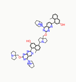 Cc1cccc2cc(O)cc(-c3ccc4c(N5CC6CCC(C5)N6)nc(OCC56CCCN5C(c5ccc(C)c7c(-c8ncc9c(N%10CC%11CCC(C%10)N%11)nc(OCC%10%11CCCN%10CCC%11)nc9n8)cc(O)cc57)CC6)nc4n3)c12